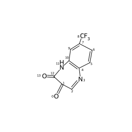 O=c1cnc2ccc(C(F)(F)F)cc2[nH]c1=O